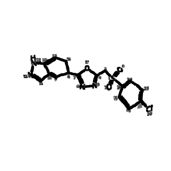 O=S(=O)(Cc1nnc(C2C=c3cn[nH]c3=CC2)o1)c1ccc(Cl)cc1